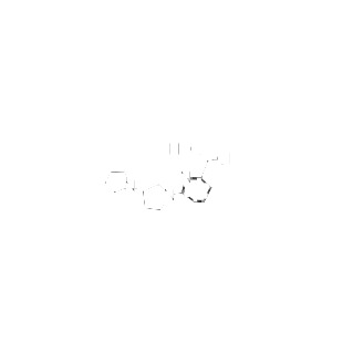 CC(C)c1cccc(N2CC[C@@H](N3CCCC3)C2)n1